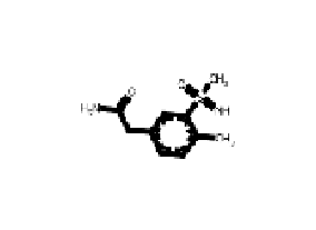 Cc1ccc(CC(N)=O)cc1S(C)(=N)=O